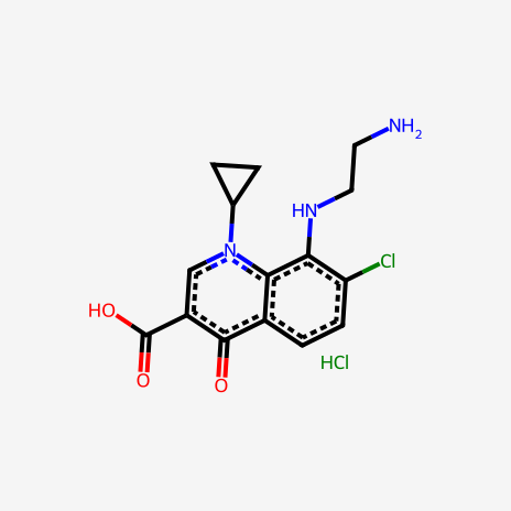 Cl.NCCNc1c(Cl)ccc2c(=O)c(C(=O)O)cn(C3CC3)c12